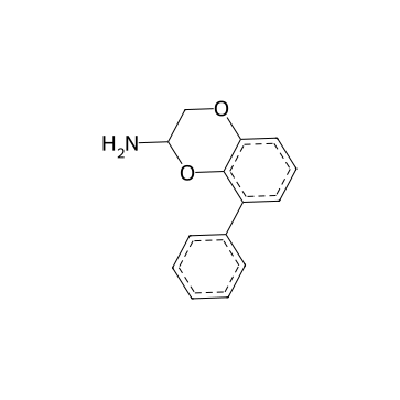 NC1COc2cccc(-c3ccccc3)c2O1